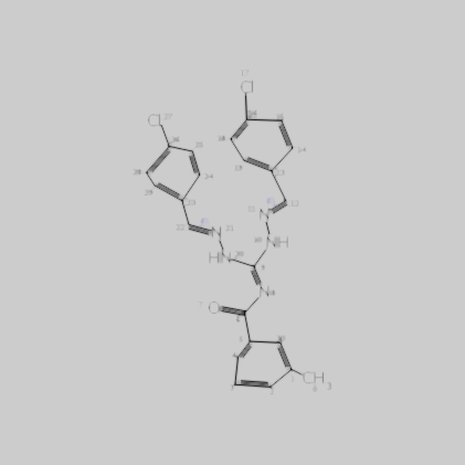 Cc1cccc(C(=O)N=C(N/N=C/c2ccc(Cl)cc2)N/N=C/c2ccc(Cl)cc2)c1